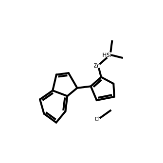 CCl.C[SiH](C)[Zr][C]1=C(C2C=Cc3ccccc32)C=CC1